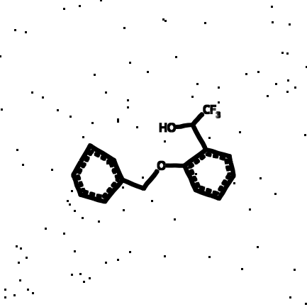 OC(c1ccccc1OCc1ccccc1)C(F)(F)F